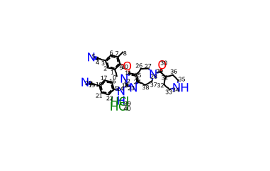 Cc1cc(C#N)cc(C)c1Oc1nc(Nc2ccc(C#N)cc2)nc2c1CCN(C(=O)C1CCNCC1)CC2.Cl.Cl